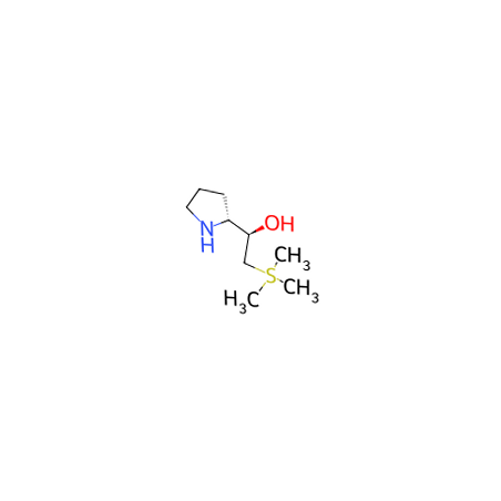 CS(C)(C)C[C@H](O)[C@H]1CCCN1